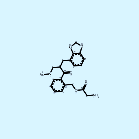 CC(=O)SCC(Cc1cccc2c1OCO2)C(=O)c1ccccc1COC(=O)CN